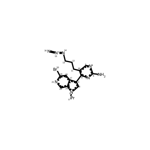 CC(C)n1cc(-c2nc(N)ncc2CCCN=[N+]=[N-])c2cc(Br)ncc21